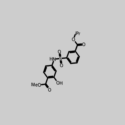 COC(=O)c1ccc(NS(=O)(=O)c2cccc(C(=O)OC(C)C)c2)cc1O